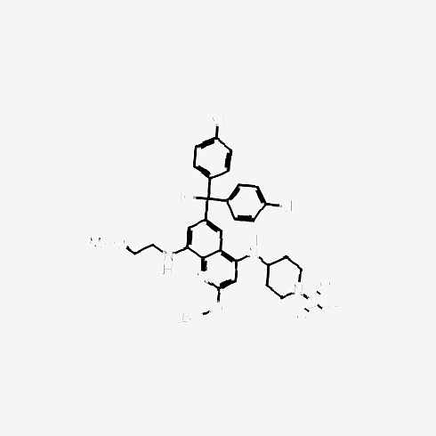 COCCNc1cc(C(O)(c2ccc(Cl)cc2)c2ccc(Cl)cc2)cc2c(NC3CCN(S(=O)(=O)C(F)(F)F)CC3)cc(OC(C)(C)C)nc12